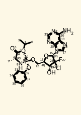 CC(C)OC(=O)[C@@H](C)N[P@](=S)(OC[C@H]1O[C@@H](n2cnc3c(N)ncnc32)[C@](F)(Cl)[C@@H]1O)Oc1ccccc1